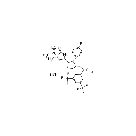 C[C@@H](O[C@H]1CC[C@@H]([C@H]2C[C@@](C)(N(C)C)C(=O)N2)[C@@H]1c1ccc(F)cc1)c1cc(C(F)(F)F)cc(C(F)(F)F)c1.Cl